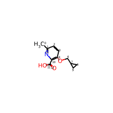 Cc1ccc(OCC2CC2)c(C(=O)O)n1